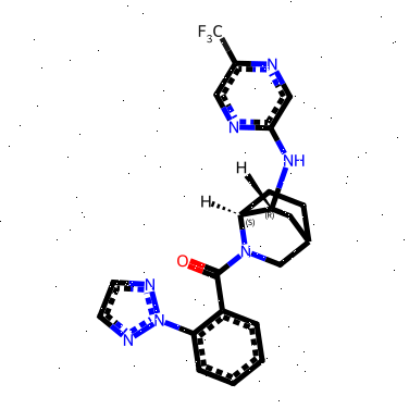 O=C(c1ccccc1-n1nccn1)N1CC2CC[C@H]1[C@H](Nc1cnc(C(F)(F)F)cn1)C2